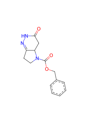 O=C1CC2C(=NN1)CCN2C(=O)OCc1ccccc1